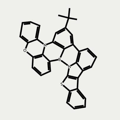 CC(C)(C)c1cc2c3c(c1)N1c4ccccc4Oc4cccc(c41)B3n1c3sc4ccccc4c3c3cccc-2c31